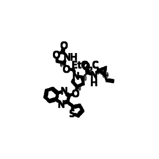 C=C[C@@H]1C[C@]1(NC(=O)[C@@H]1C[C@@H](Oc2nc3ccccc3nc2-c2cccs2)CN1CO[C@@H]1COC(=O)N1)C(=O)OCC